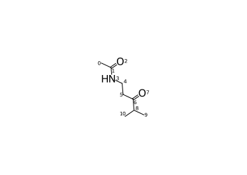 CC(=O)NCCC(=O)C(C)C